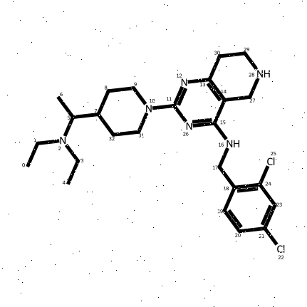 CCN(CC)C(C)C1CCN(c2nc3c(c(NCc4ccc(Cl)cc4Cl)n2)CNCC3)CC1